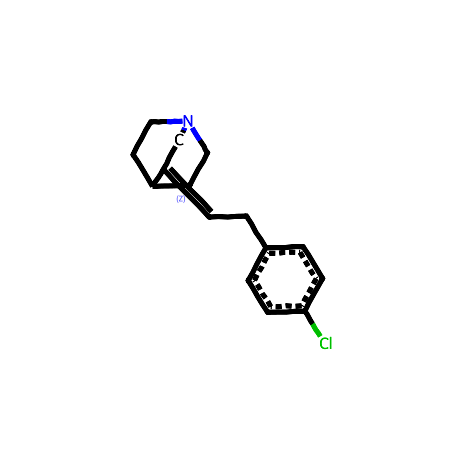 Clc1ccc(C/C=C2\CN3CCC2CC3)cc1